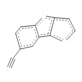 N#Cc1ccc2[nH]c3ccsc3c2c1